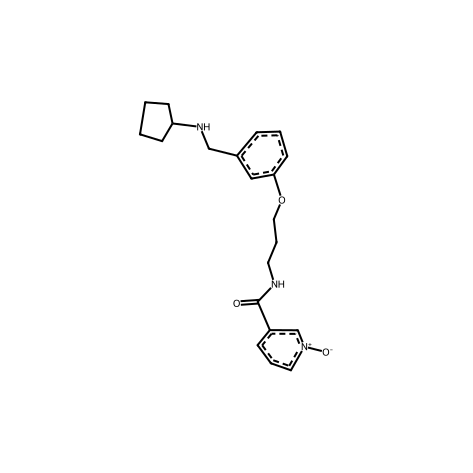 O=C(NCCCOc1cccc(CNC2CCCC2)c1)c1ccc[n+]([O-])c1